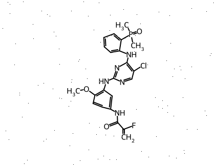 C=C(F)C(=O)Nc1ccc(OC)c(Nc2ncc(Cl)c(Nc3ccccc3P(C)(C)=O)n2)c1